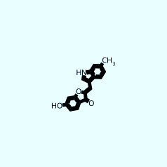 Cc1ccc2c(C=C3Oc4cc(O)ccc4C3=O)c[nH]c2c1